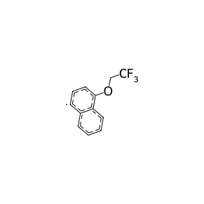 FC(F)(F)COc1cc[c]c2ccccc12